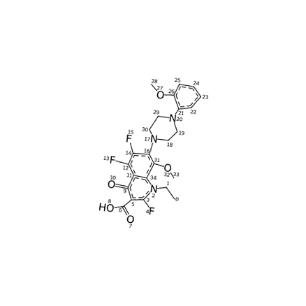 CCn1c(F)c(C(=O)O)c(=O)c2c(F)c(F)c(N3CCN(c4ccccc4OC)CC3)c(OC)c21